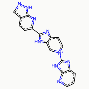 c1cnc2[nH]c(-[n+]3ccc4nc(-c5ccc6cn[nH]c6n5)[nH]c4c3)nc2c1